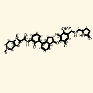 COc1c(CNCC2CCC(=O)N2)cc(Cl)c(OC2CCc3c(-c4cccc(NC(=O)c5nc6c(n5C)CCN(C)C6)c4Cl)cccc32)c1F